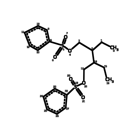 CCC(COS(=O)(=O)c1ccccc1)C(CC)COS(=O)(=O)c1ccccc1